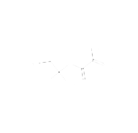 C=C(C)C(=O)OC(C)(O)CCCCCC